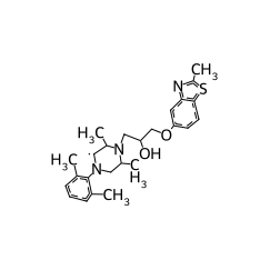 Cc1nc2cc(OCC(O)CN3C(C)[CH]N(c4c(C)cccc4C)CC3C)ccc2s1